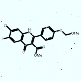 COCOc1ccc(-c2[nH]c3cc(Cl)c(F)cc3c(=O)c2C(=O)OC)cc1